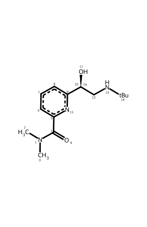 CN(C)C(=O)c1cccc([C@@H](O)CNC(C)(C)C)n1